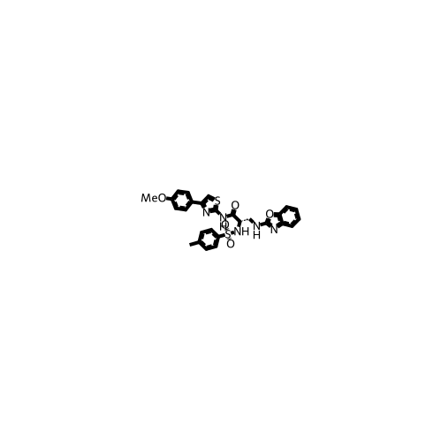 COc1ccc(-c2csc(NC(=O)[C@H](CNc3nc4ccccc4o3)NS(=O)(=O)c3ccc(C)cc3)n2)cc1